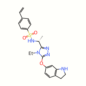 C=Cc1ccc(S(=O)(=O)N[C@H](C)c2nnc(Oc3ccc4c(c3)NCC4)n2CC)cc1